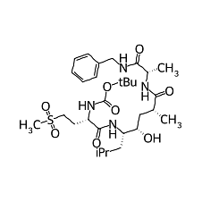 CC(C)C[C@H](NC(=O)[C@H](CCS(C)(=O)=O)NC(=O)OC(C)(C)C)[C@@H](O)C[C@@H](C)C(=O)N[C@@H](C)C(=O)NCc1ccccc1